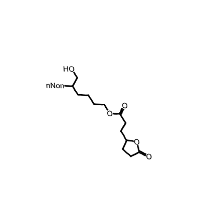 CCCCCCCCCC(CO)CCCCOC(=O)CCC1CCC(=O)O1